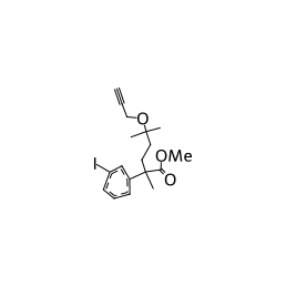 C#CCOC(C)(C)CCC(C)(C(=O)OC)c1cccc(I)c1